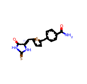 NC(=O)c1ccc(-c2ccc(/C=C3\NC(=S)NC3=O)s2)cc1